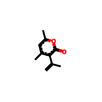 C=C(C)c1c(C)cc(C)oc1=O